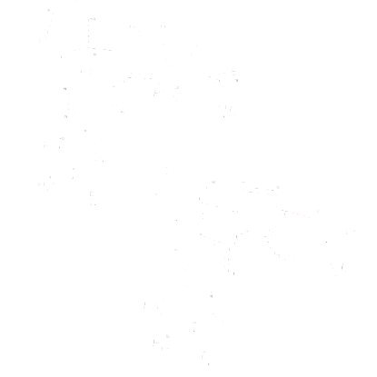 CCC(C)(Oc1ccc(C2(c3ccc(OC(C)(CC)C(=O)O)cc3)CCCCC2)cc1)C(=O)O.CCC(C)(Oc1ccc(C2(c3ccc(OC(C)(CC)C(=O)O)cc3)CCCCC2)cc1)C(=O)O